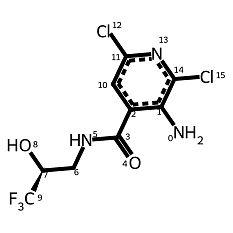 Nc1c(C(=O)NC[C@H](O)C(F)(F)F)cc(Cl)nc1Cl